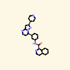 O=C(Nc1cccc(-c2ccnc3cc(-c4ccncc4)nn23)c1)c1nccc2ccccc12